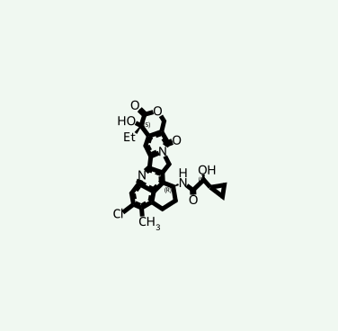 CC[C@@]1(O)C(=O)OCc2c1cc1n(c2=O)Cc2c-1nc1cc(Cl)c(C)c3c1c2[C@H](NC(=O)[C@@H](O)C1CC1)CC3